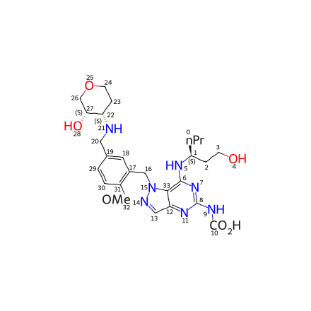 CCC[C@@H](CCO)Nc1nc(NC(=O)O)nc2cnn(Cc3cc(CN[C@H]4CCOC[C@H]4O)ccc3OC)c12